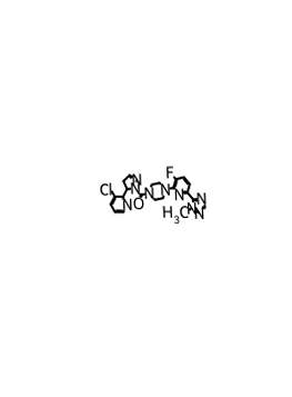 Cn1ncnc1-c1ccc(F)c(N2CCN(C(=O)N3N=CCC3c3ncccc3Cl)CC2)n1